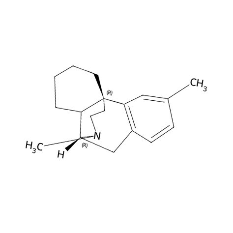 Cc1ccc2c(c1)[C@@]13CCCCC1[C@@H](C2)N(C)CC3